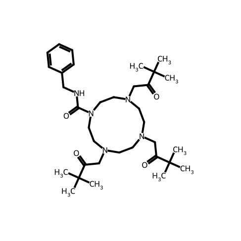 CC(C)(C)C(=O)CN1CCN(CC(=O)C(C)(C)C)CCN(C(=O)NCc2ccccc2)CCN(CC(=O)C(C)(C)C)CC1